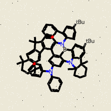 CC(C)(C)c1ccc(N2B3c4cc(C(C)(C)C)cc5c4N(c4cc(N(c6ccccc6)c6ccccc6)cc(c43)-c3c2ccc2c3-c3cc4c(cc3C2(C)C)C(C)(C)CCC4(C)C)C2(C)CCCCC52C)c(-c2ccccc2)c1